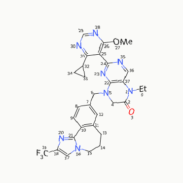 CCN1C(=O)CN(Cc2ccc3c(c2)CCCn2cc(C(F)(F)F)nc2-3)c2nc(-c3c(OC)ncnc3C3CC3)ncc21